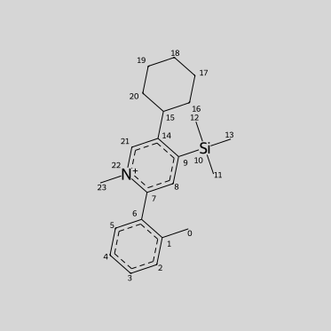 Cc1ccccc1-c1cc([Si](C)(C)C)c(C2CCCCC2)c[n+]1C